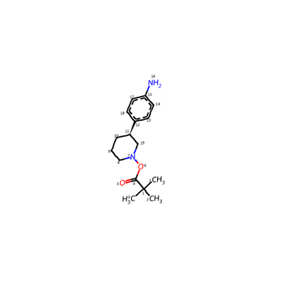 CC(C)(C)C(=O)ON1CCC[C@@H](c2ccc(N)cc2)C1